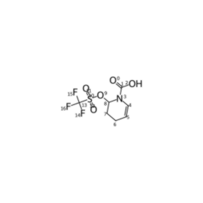 O=C(O)N1C=CCCC1OS(=O)(=O)C(F)(F)F